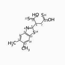 Cc1cc2nc(C(CC(O)=S)C(O)=S)sc2cc1C